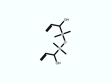 C=CC(O)[Si](C)(C)O[Si](C)(C)C(O)C=C